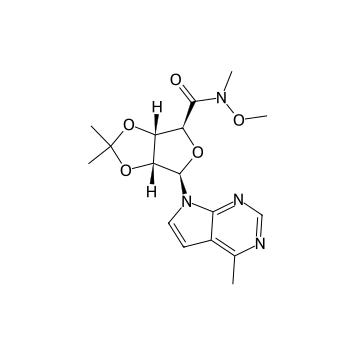 CON(C)C(=O)[C@H]1O[C@@H](n2ccc3c(C)ncnc32)[C@@H]2OC(C)(C)O[C@@H]21